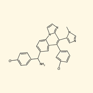 Cn1cncc1-c1c(-c2cccc(Cl)c2)c2cc(C(N)c3ccc(Cl)cc3)ccc2n2ccnc12